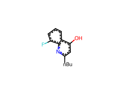 CCCCc1cc(O)c2cccc(F)c2n1